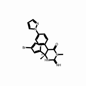 CN1C(=N)N[C@](C)(c2cc(Br)cs2)C(c2ccc(-n3cccn3)cc2)C1=O